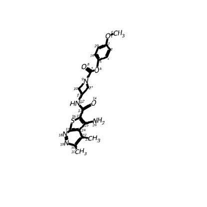 COc1ccc(OC(=O)N2CC(NC(=O)c3sc4nnc(C)c(C)c4c3N)C2)cc1